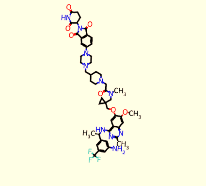 COc1cc2nc(C)nc(N[C@H](C)c3cc(N)cc(C(F)(F)F)c3)c2cc1OCC1(CN(C)C(=O)CN2CCC(CN3CCN(c4ccc5c(c4)C(=O)N(C4CCC(=O)NC4=O)C5=O)CC3)CC2)CC1